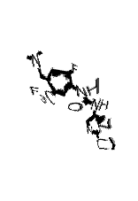 CN(C)Cc1cc(F)c(NC(=O)Nc2cnc(Cl)nc2)cc1C(F)(F)F